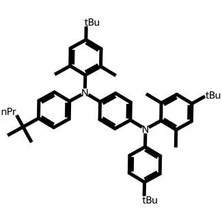 CCCC(C)(C)c1ccc(N(c2ccc(N(c3ccc(C(C)(C)C)cc3)c3c(C)cc(C(C)(C)C)cc3C)cc2)c2c(C)cc(C(C)(C)C)cc2C)cc1